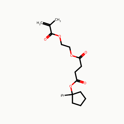 C=C(C)C(=O)OCCOC(=O)CCC(=O)OC1(C(C)C)CCCC1